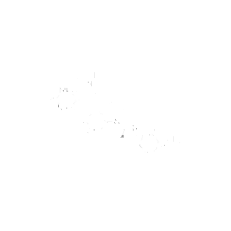 CCN(C)Cc1cc(Oc2ccc3c(c2)CCN3C(=O)Nc2cccc(C(F)(F)F)c2)ncn1